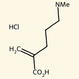 C=C(CCCNC)C(=O)O.Cl